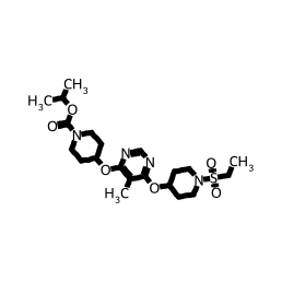 CCS(=O)(=O)N1CCC(Oc2ncnc(OC3CCN(C(=O)OC(C)C)CC3)c2C)CC1